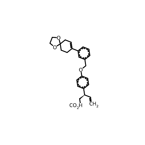 C=C[C@@H](CC(=O)O)c1ccc(OCc2cccc(C3=CCC4(CC3)OCCO4)c2)cc1